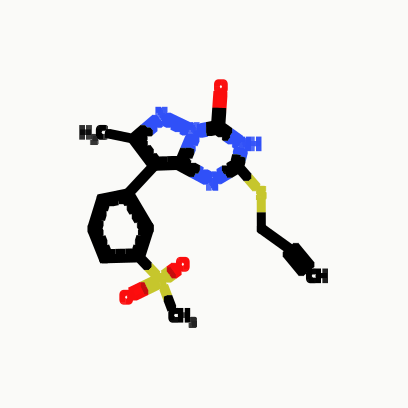 C#CCSc1nc2c(-c3cccc(S(C)(=O)=O)c3)c(C)nn2c(=O)[nH]1